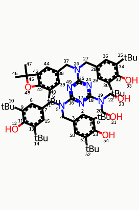 CC(C)(C)c1cc(CN(Cc2cc(C(C)(C)C)c(O)c(C(C)(C)C)c2)c2nc(N(CO)CO)nc(N(Cc3cc(C(C)(C)C)c(O)c(C(C)(C)C)c3)Cc3cc(C(C)(C)C)c4c(c3)C(C)(C)O4)n2)cc(C(C)(C)C)c1O